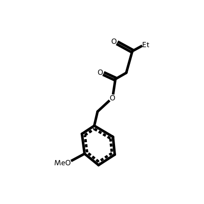 CCC(=O)CC(=O)OCc1cccc(OC)c1